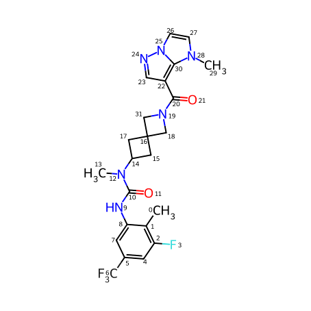 Cc1c(F)cc(C(F)(F)F)cc1NC(=O)N(C)C1CC2(C1)CN(C(=O)c1cnn3ccn(C)c13)C2